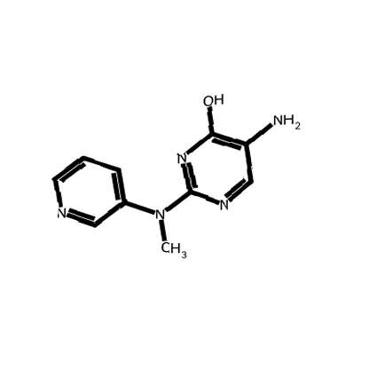 CN(c1cccnc1)c1ncc(N)c(O)n1